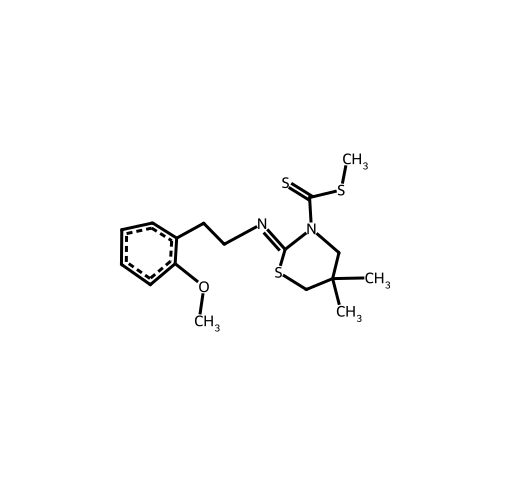 COc1ccccc1CC/N=C1\SCC(C)(C)CN1C(=S)SC